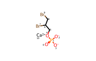 O=P([O-])([O-])OCC(Br)CBr.[Ca+2]